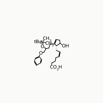 CC(C)(C)[Si](C)(C)OC(CCC1=CCC(O)[C@@H]1C/C=C\CCCC(=O)O)COc1ccccc1